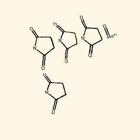 O=C1CCC(=O)[N-]1.O=C1CCC(=O)[N-]1.O=C1CCC(=O)[N-]1.O=C1CCC(=O)[N-]1.[O]=[Mo+4]